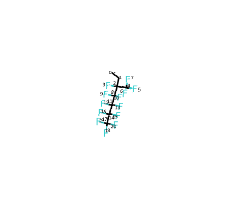 [CH2]CC(F)(C(F)(F)F)C(F)(F)C(F)(F)C(F)(F)C(F)(F)F